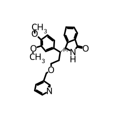 COc1ccc(C(CCOCc2cccnc2)[C@H]2NC(=O)c3ccccc32)cc1OC